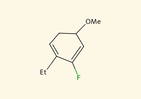 CCC1=CCC(OC)C=C1F